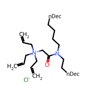 C=CC[N+](CC=C)(CC=C)CC(=O)N(CCCCCCCCCCCC)CCCCCCCCCCCCCC.[Cl-]